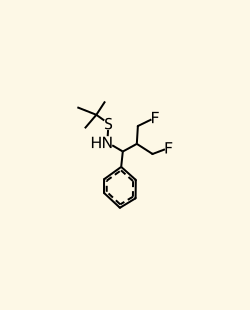 CC(C)(C)SNC(c1ccccc1)C(CF)CF